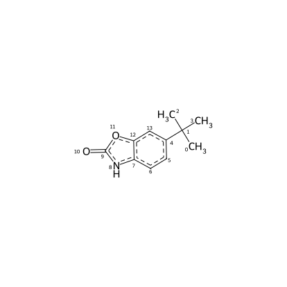 CC(C)(C)c1ccc2[nH]c(=O)oc2c1